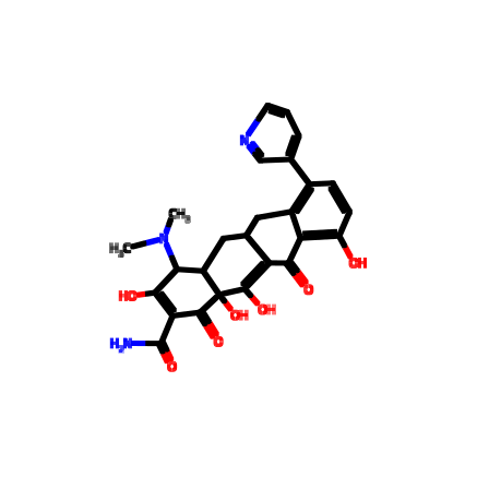 CN(C)C1C(O)=C(C(N)=O)C(=O)C2(O)C(O)=C3C(=O)c4c(O)ccc(-c5cccnc5)c4CC3CC12